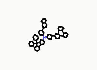 c1ccc(C2(c3ccccc3)c3ccccc3-c3ccc(N(c4ccc(-c5ccc6c7ccccc7c7ccccc7c6c5)cc4)c4cccc(-c5ccc6ccccc6c5)c4)cc32)cc1